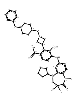 COc1c(Nc2ncc3c(n2)N(C2CCCC2)CC(F)(F)C(=O)N3C)ccc(C(N)=O)c1C1CN(CC2CCN(Cc3ccccc3)CC2)C1